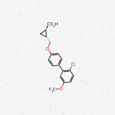 O=C(O)[C@@H]1C[C@H]1COc1ccc(-c2cc(OC(F)(F)F)ccc2Cl)cc1